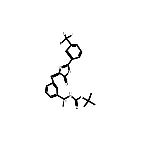 C[C@H](NC(=O)OC(C)(C)C)c1cccc(/C=C2/N=C(c3cccc(C(F)(F)F)c3)OC2=O)c1